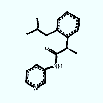 CC(C)Cc1ccccc1[C@@H](C)C(=O)Nc1cccnc1